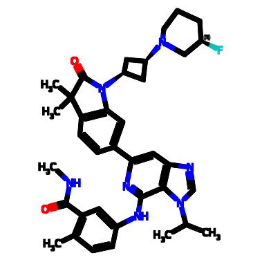 CNC(=O)c1cc(Nc2nc(-c3ccc4c(c3)N([C@H]3C[C@@H](N5CCC[C@@H](F)C5)C3)C(=O)C4(C)C)cc3ncn(C(C)C)c23)ccc1C